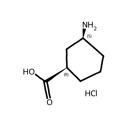 Cl.N[C@H]1CCC[C@@H](C(=O)O)C1